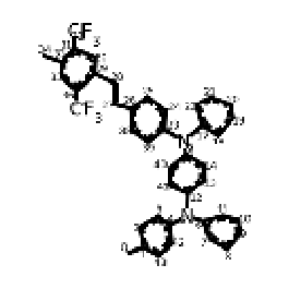 Cc1ccc(N(c2ccccc2)c2ccc(N(c3ccccc3)c3ccc(C=Cc4cc(C(F)(F)F)c(C)cc4C(F)(F)F)cc3)cc2)cc1